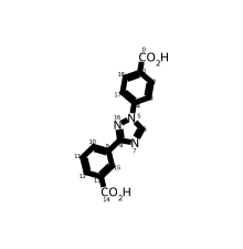 O=C(O)c1ccc(-n2cnc(-c3cccc(C(=O)O)c3)n2)cc1